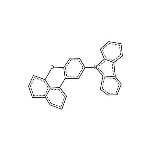 c1cc2c3c(cccc3c1)-c1cc(-n3c4ccccc4c4ccccc43)ccc1O2